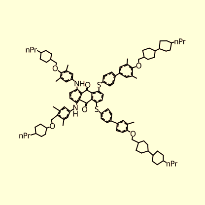 CCCC1CCC(COc2c(C)cc(Nc3ccc(Nc4cc(C)c(COC5CCC(CCC)CC5)c(C)c4)c4c3C(=O)c3c(Sc5ccc(-c6cc(C)c(OCC7CCC(C8CCC(CCC)CC8)CC7)c(C)c6)cc5)ccc(Sc5ccc(-c6ccc(OCC7CCC(C8CCC(CCC)CC8)CC7)c(C)c6)cc5)c3C4=O)cc2C)CC1